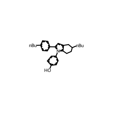 CCCCc1ccc(-c2cc3c(n2-c2ccc(O)cc2)CCC(CCCC)C3)cc1